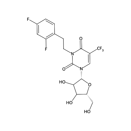 O=c1c(C(F)(F)F)cn([C@@H]2O[C@H](CO)C(O)C2O)c(=O)n1CCc1ccc(F)cc1F